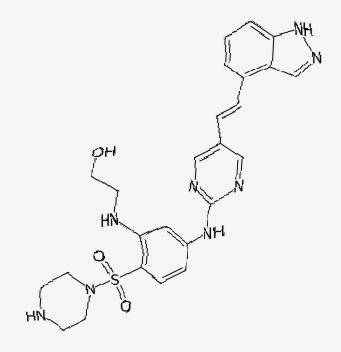 O=S(=O)(c1ccc(Nc2ncc(C=Cc3cccc4[nH]ncc34)cn2)cc1NCCO)N1CCNCC1